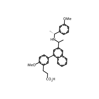 COc1cccc([C@@H](C)NC(C)c2cc(-c3ccc(OC)c(CCC(=O)O)c3)c3ccccc3c2)c1